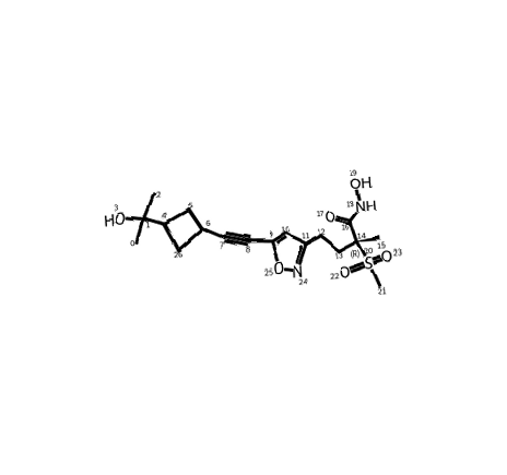 CC(C)(O)C1CC(C#Cc2cc(CC[C@](C)(C(=O)NO)S(C)(=O)=O)no2)C1